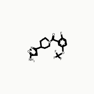 Nc1cc(C2CCN(C(=O)c3cc(OC(F)(F)F)ccc3F)CC2)no1